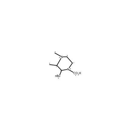 CCCCC1C(C)N(C)CCN1C(=O)O